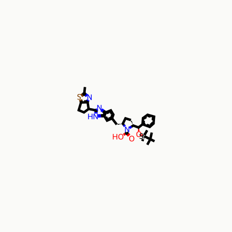 Cc1nc2c(s1)CCC2c1nc2ccc(C[C@@H]3CC[C@H]([C@H](O[Si](C)(C)C(C)(C)C)c4ccccc4)N3C(=O)O)cc2[nH]1